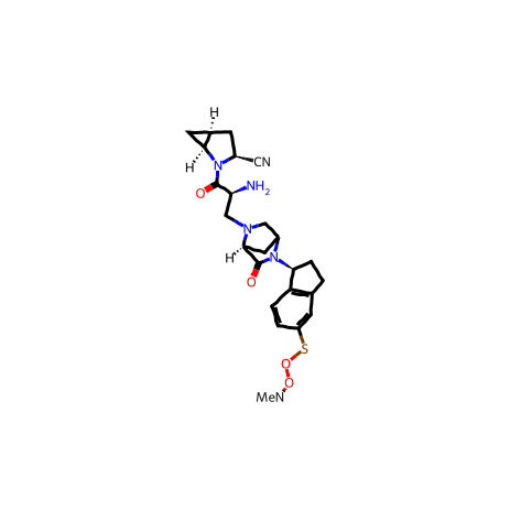 CNOOSc1ccc2c(c1)CC[C@@H]2N1C(=O)[C@@H]2CC1CN2C[C@H](N)C(=O)N1[C@H](C#N)C[C@@H]2C[C@@H]21